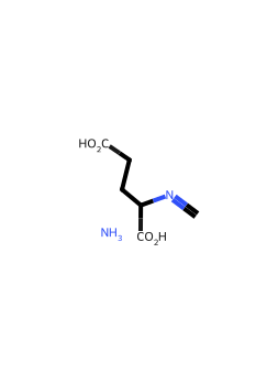 C=NC(CCC(=O)O)C(=O)O.N